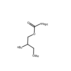 CCCCCCCC(=O)OCC(CCCC)COC